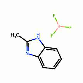 Cc1nc2ccccc2[nH]1.FB(F)F